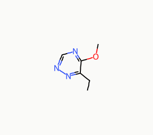 CCc1nncnc1OC